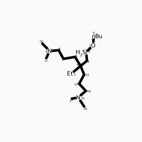 CCCCO[SiH2]CC(CC)(CCCN(C)C)CCCN(C)C